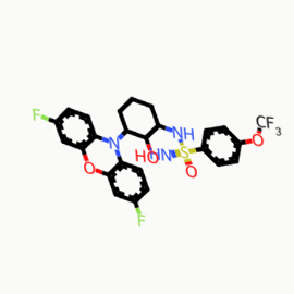 N=S(=O)(NC1CCCC(N2c3ccc(F)cc3Oc3cc(F)ccc32)C1O)c1ccc(OC(F)(F)F)cc1